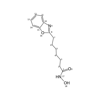 O=C(CCCCCCc1nc2ccccc2o1)NO